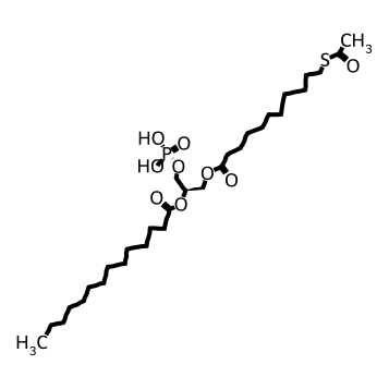 CCCCCCCCCCCCCC(=O)O[C@H](COC(=O)CCCCCCCCCCSC(C)=O)COP(=O)(O)O